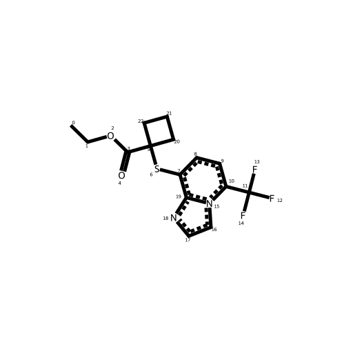 CCOC(=O)C1(Sc2ccc(C(F)(F)F)n3ccnc23)CCC1